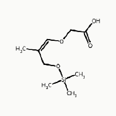 CC(=COCC(=O)O)CO[Si](C)(C)C